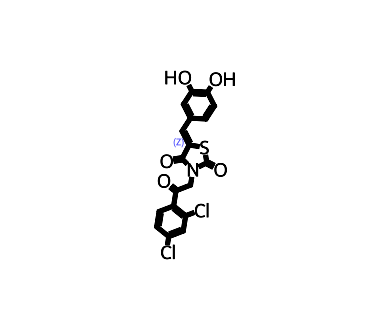 O=C(CN1C(=O)S/C(=C\c2ccc(O)c(O)c2)C1=O)c1ccc(Cl)cc1Cl